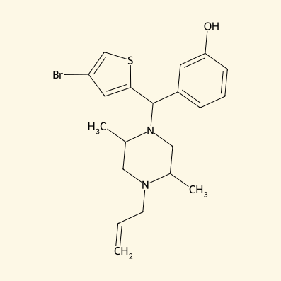 C=CCN1CC(C)N(C(c2cccc(O)c2)c2cc(Br)cs2)CC1C